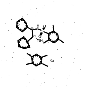 Cc1cc(C)c(C)cc1C.Cc1cc(C)c(S(=O)(=O)N[C@H](c2ccccc2)[C@H](N)c2ccccc2)c(C)c1.[Ru]